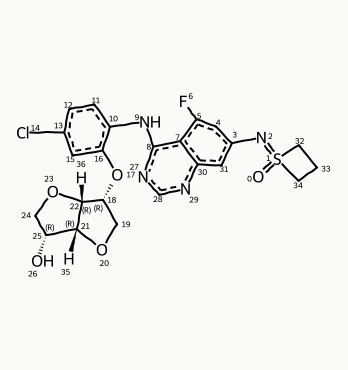 O=S1(=Nc2cc(F)c3c(Nc4ccc(Cl)cc4O[C@@H]4CO[C@H]5[C@@H]4OC[C@H]5O)ncnc3c2)CCC1